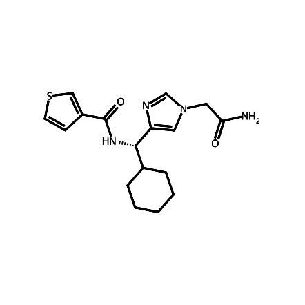 NC(=O)Cn1cnc([C@@H](NC(=O)c2ccsc2)C2CCCCC2)c1